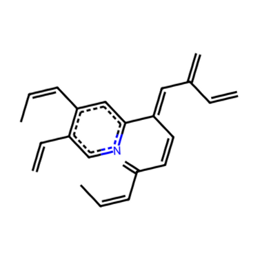 C=CC(=C)/C=C(\C=C/C(=C)/C=C\C)c1cc(/C=C\C)c(C=C)cn1